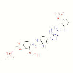 Cc1ccc(Nc2nc(Cl)nc(Nc3ccc(/N=N/c4ccc(S(=O)(=O)CCOS(=O)(=O)O)cc4S(=O)(=O)O)c(N)c3)n2)cc1S(=O)(=O)O